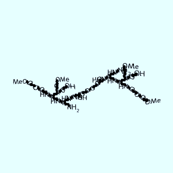 COCCOCCOCCOCCNCCN(CCNCCN(CCN)CCNCCNCC(O)COCCOCCOCCOCC(O)CNCCN(CCNCCN)CCNCCN(CCNCCOCCOCCOCCOC)CCN(CCOCCO)CCOCCOC)CCN(CCOCCO)CCOCCOC